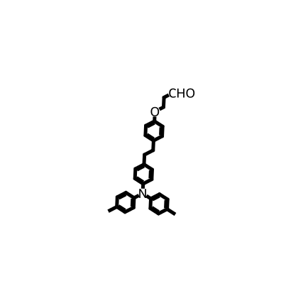 Cc1ccc(N(c2ccc(C)cc2)c2ccc(CCc3ccc(OCCC=O)cc3)cc2)cc1